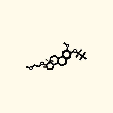 COCCO[C@H]1CCC2C3CCc4cc(O[Si](C)(C)C(C)(C)C)c(OC)cc4C3CC[C@@]21C